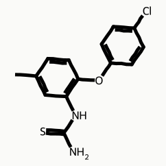 Cc1ccc(Oc2ccc(Cl)cc2)c(NC(N)=S)c1